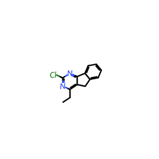 CCc1nc(Cl)nc2c1Cc1ccccc1-2